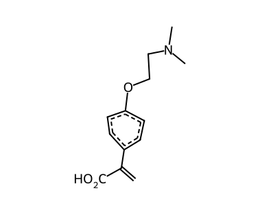 C=C(C(=O)O)c1ccc(OCCN(C)C)cc1